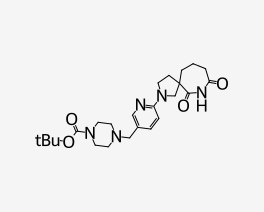 CC(C)(C)OC(=O)N1CCN(Cc2ccc(N3CCC4(CCCC(=O)NC4=O)C3)nc2)CC1